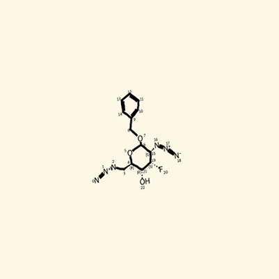 [N-]=[N+]=NC[C@H]1OC(OCc2ccccc2)[C@H](N=[N+]=[N-])[C@H](F)[C@@H]1O